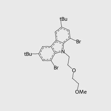 COCCOCCn1c2c(Br)cc(C(C)(C)C)cc2c2cc(C(C)(C)C)cc(Br)c21